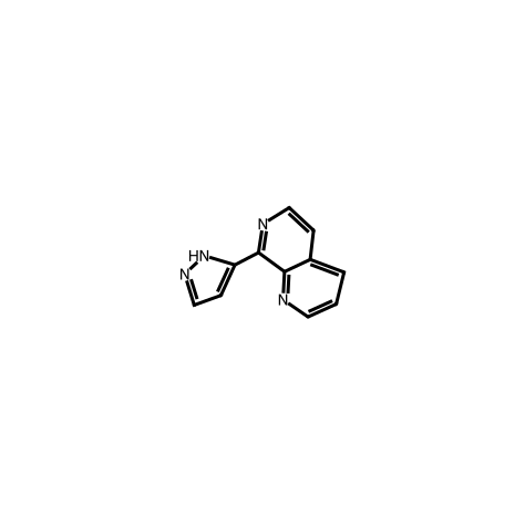 c1cnc2c(-c3ccn[nH]3)nccc2c1